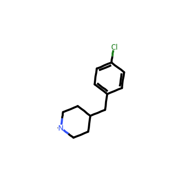 Clc1ccc(CC2CC[N]CC2)cc1